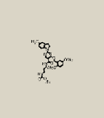 COc1ccc(OC)c(COc2nc(N3CCc4cc(C)ccc43)ncc2C(=O)NCCCNC(=O)OC(C)(C)C)c1